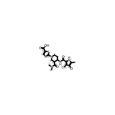 Cc1[nH]c(C(=O)NC2CCN(c3ncc(C(=O)O)s3)CC2C(=O)N(C)C)c(Cl)c1Cl